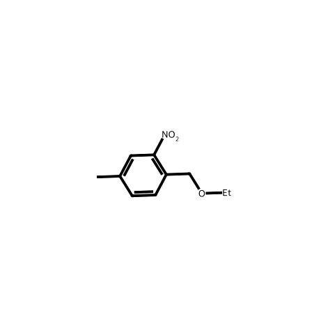 CCOCc1ccc(C)cc1[N+](=O)[O-]